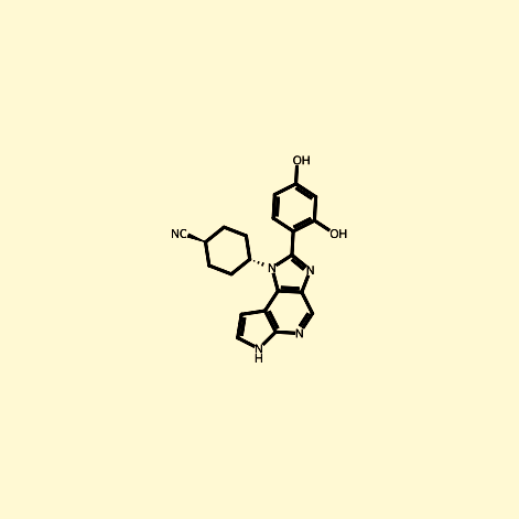 N#C[C@H]1CC[C@H](n2c(-c3ccc(O)cc3O)nc3cnc4[nH]ccc4c32)CC1